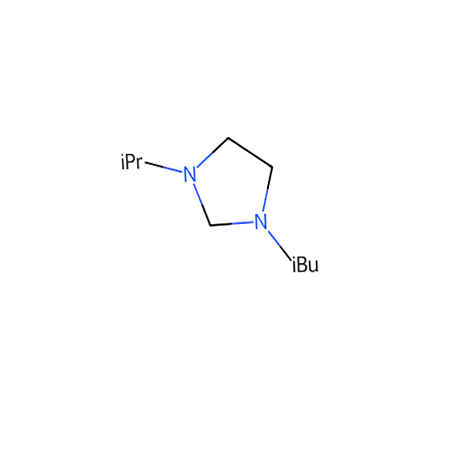 CCC(C)N1CCN(C(C)C)C1